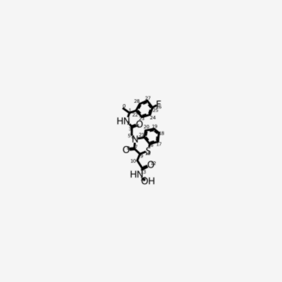 CC(NC(=O)CN1C(=O)C(CC(=O)NO)Sc2ccccc21)c1ccc(F)cc1